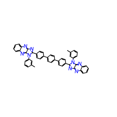 Cc1cccc(-n2c(-c3ccc(-c4ccc(-c5ccc(-c6nc7nc8ccccc8nc7n6-c6cccc(C)c6)cc5)cc4)cc3)nc3nc4ccccc4nc32)c1